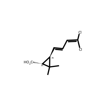 CC1(C)[C@H](C=CC=C(Cl)Cl)[C@H]1C(=O)O